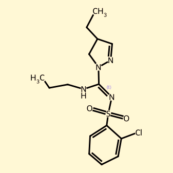 CCCN/C(=N\S(=O)(=O)c1ccccc1Cl)N1CC(CC)C=N1